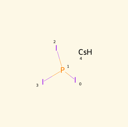 IP(I)I.[CsH]